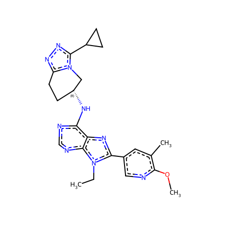 CCn1c(-c2cnc(OC)c(C)c2)nc2c(N[C@@H]3CCc4nnc(C5CC5)n4C3)ncnc21